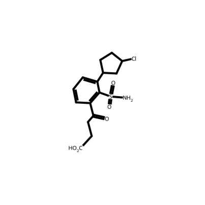 NS(=O)(=O)c1c(C(=O)CCC(=O)O)cccc1C1CCC(Cl)C1